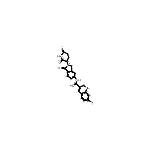 O=C1CCC(N2Cc3cc(NC(=O)C4=Cc5ccc(Br)cc5OC4)ccc3C2=O)C(=O)N1